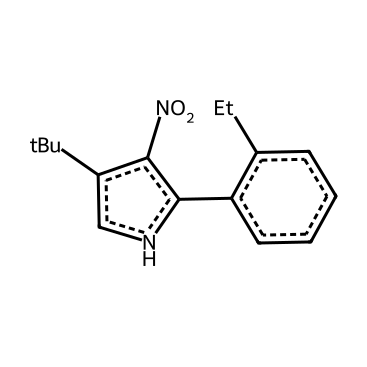 CCc1ccccc1-c1[nH]cc(C(C)(C)C)c1[N+](=O)[O-]